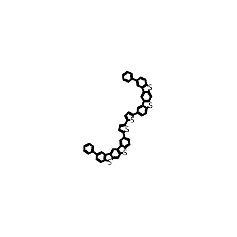 c1ccc(-c2ccc3sc4cc5sc6ccc(-c7ccc(-c8ccc(-c9ccc%10sc%11cc%12sc%13ccc(-c%14ccccc%14)cc%13c%12cc%11c%10c9)s8)s7)cc6c5cc4c3c2)cc1